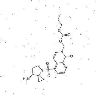 CCCOC(=O)OCn1ccc2c(S(=O)(=O)N3CC[C@H](N)C34CC4)cccc2c1=O